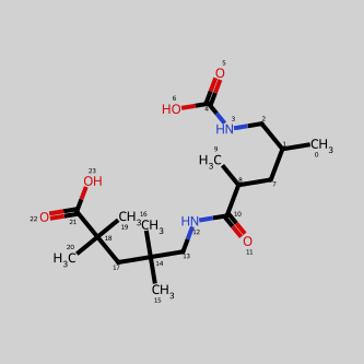 CC(CNC(=O)O)CC(C)C(=O)NCC(C)(C)CC(C)(C)C(=O)O